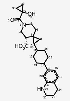 O=C(N1CCC2(CC1)C[C@@]2(C(=O)O)C1CCC(c2ccc3c(c2)NCCC3)CC1)C1(O)CC1